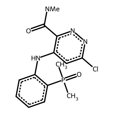 CNC(=O)c1nnc(Cl)cc1Nc1ccccc1P(C)(C)=O